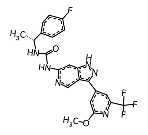 COc1cc(-c2n[nH]c3cc(NC(=O)N[C@H](C)c4ccc(F)cc4)ncc23)cc(C(F)(F)F)n1